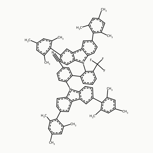 Cc1cc(C)c(-c2ccc3c(c2)c2cc(-c4c(C)cc(C)cc4C)ccc2n3-c2ccc(C#N)cc2-c2cccc(C(F)(F)F)c2-n2c3ccc(-c4c(C)cc(C)cc4C)cc3c3cc(-c4c(C)cc(C)cc4C)ccc32)c(C)c1